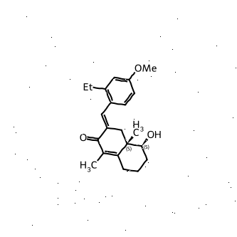 CCc1cc(OC)ccc1C=C1C[C@@]2(C)C(=C(C)C1=O)CCC[C@@H]2O